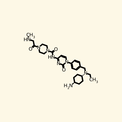 CCN(Cc1ccc(-n2ccc(NC(=O)N3CCN(C(=O)CNC)CC3)nc2=O)cc1)[C@H]1CC[C@H](N)CC1